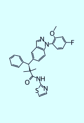 COc1cc(F)ccc1-n1ncc2cc([C@H](c3ccccc3)C(C)(C)C(=O)Nc3nccs3)ccc21